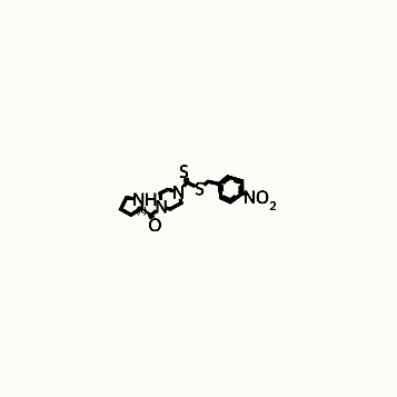 O=C([C@H]1CCCN1)N1CCN(C(=S)SCc2ccc([N+](=O)[O-])cc2)CC1